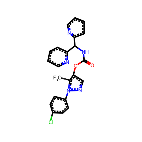 O=C(NC(c1ccccn1)c1ccccn1)Oc1cnn(-c2ccc(Cl)cc2)c1C(F)(F)F